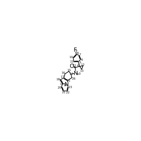 CN(C(=O)C1(c2ccc(F)cc2)CC1)[C@@H]1CCc2[c]c3ccccn3c2C1